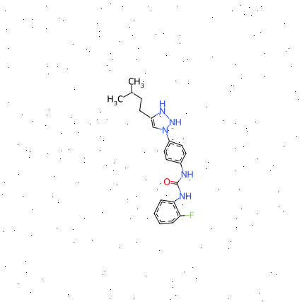 CC(C)CCC1=CN(c2ccc(NC(=O)Nc3ccccc3F)cc2)NN1